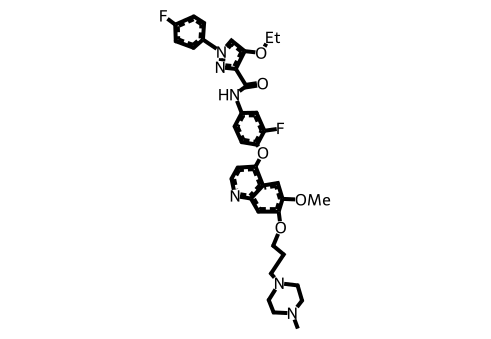 CCOc1cn(-c2ccc(F)cc2)nc1C(=O)Nc1ccc(Oc2ccnc3cc(OCCCN4CCN(C)CC4)c(OC)cc23)c(F)c1